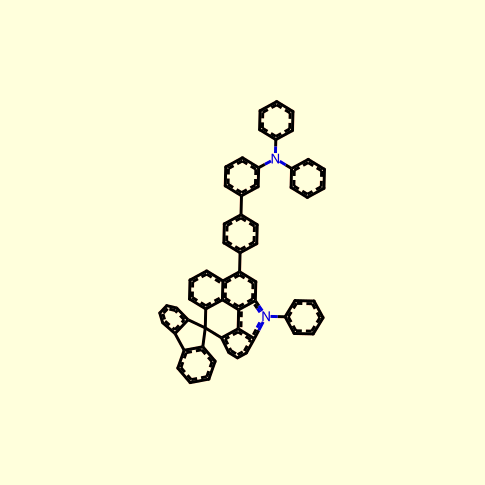 c1ccc(N(c2ccccc2)c2cccc(-c3ccc(-c4cc5c6c7c(cccc47)C4(c7ccccc7-c7ccccc74)c4cccc(c46)n5-c4ccccc4)cc3)c2)cc1